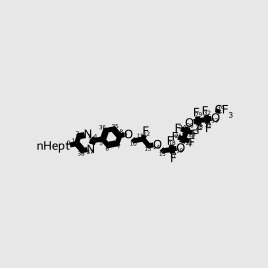 CCCCCCCc1cnc(-c2ccc(OCC(F)COCC(F)(F)OC(F)(F)C(F)(F)OC(F)(F)C(F)(F)OC(F)(F)F)cc2)nc1